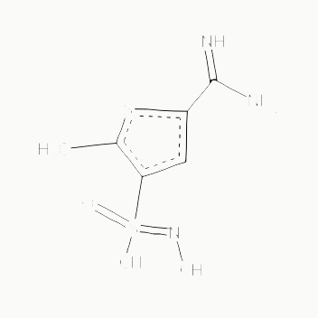 CN=S(C)(=O)c1cc(C(=N)N)sc1C